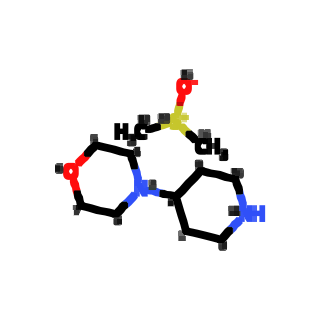 C1CC(N2CCOCC2)CCN1.C[S+](C)[O-]